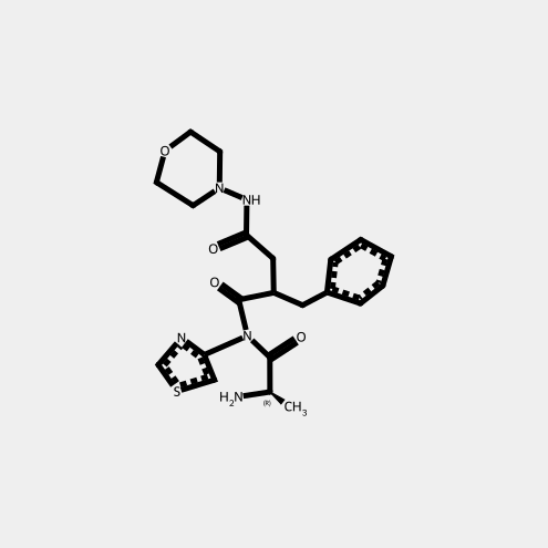 C[C@@H](N)C(=O)N(C(=O)C(CC(=O)NN1CCOCC1)Cc1ccccc1)c1cscn1